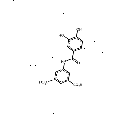 O=C(O)c1cc(NC(=O)c2ccc(O)c(O)c2)cc(C(=O)O)c1